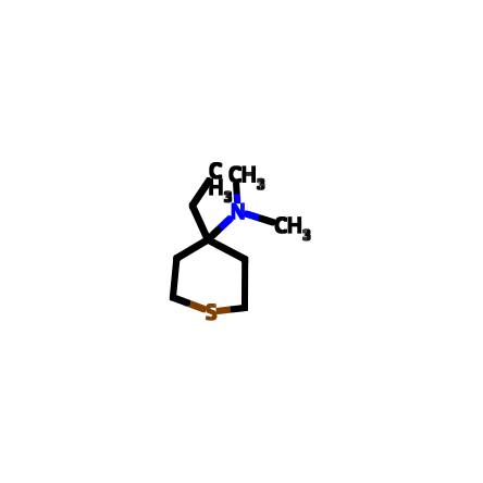 CCC1(N(C)C)CCSCC1